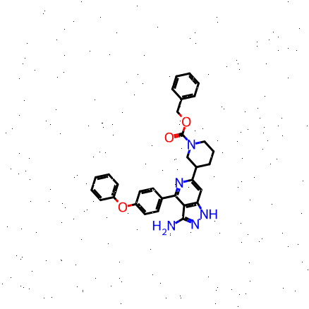 Nc1n[nH]c2cc(C3CCCN(C(=O)OCc4ccccc4)C3)nc(-c3ccc(Oc4ccccc4)cc3)c12